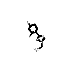 CCn1[c]nc(-c2ccc(F)cc2F)n1